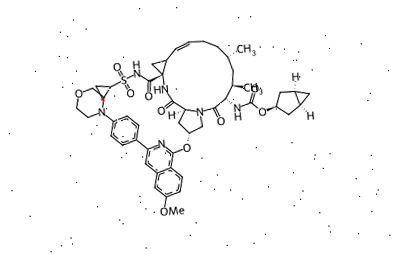 COc1ccc2c(O[C@@H]3C[C@H]4C(=O)N[C@]5(C(=O)NS(=O)(=O)C6CC6)CC5/C=C\CC[C@H](C)C[C@@H](C)[C@H](NC(=O)O[C@@H]5C[C@@H]6C[C@@H]6C5)C(=O)N4C3)nc(-c3ccc(N4CCOCC4)cc3)cc2c1